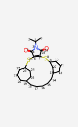 CC(C)N1C(=O)C2=C(SC3CCCC(CCCCCC4CCCC(CC4)S2)C3)C1=O